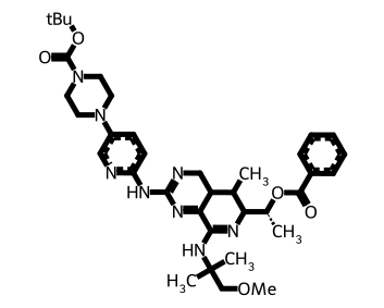 COCC(C)(C)NC1=NC([C@@H](C)OC(=O)c2ccccc2)C(C)C2CN=C(Nc3ccc(N4CCN(C(=O)OC(C)(C)C)CC4)cn3)N=C12